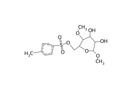 COC1OC(COS(=O)(=O)c2ccc(C)cc2)C(OC)C(O)C1O